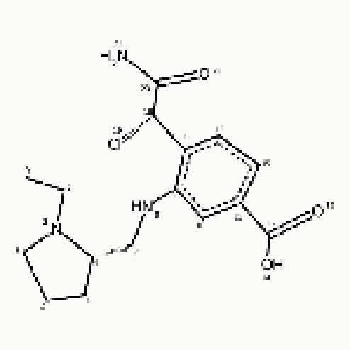 CCN1CCC[C@H]1CNc1cc(C(=O)O)ccc1[C@H](Cl)C(N)=O